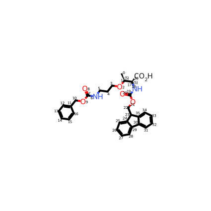 C[C@H](OCCCNC(=O)OCc1ccccc1)[C@H](NC(=O)OCC1c2ccccc2-c2ccccc21)C(=O)O